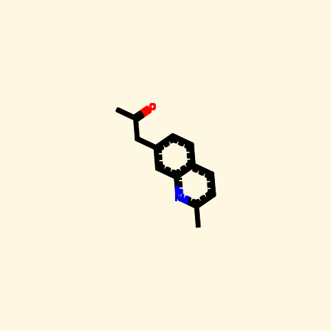 CC(=O)Cc1ccc2ccc(C)nc2c1